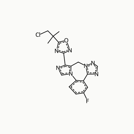 CC(C)(CCl)c1nc(-c2ncn3c2Cn2ncnc2-c2cc(F)ccc2-3)no1